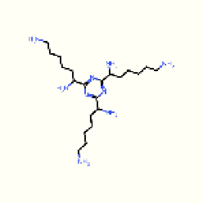 NCCCCCC(N)c1nc(C(N)CCCCCN)nc(C(N)CCCCCN)n1